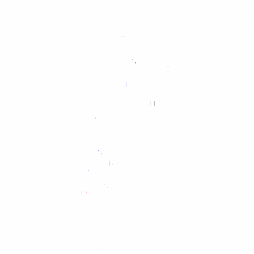 Cc1nc(C(=O)Nc2cc(Oc3ccc4nc(NC(=O)C5CC5)nn4c3)ccc2C)c(C(F)(F)F)o1